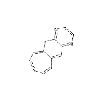 C1=CC2=Cc3nccnc3CC2=CC=N1